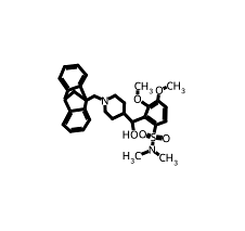 COc1ccc(S(=O)(=O)N(C)C)c(C(O)C2CCN(CC34CC(c5ccccc53)c3ccccc34)CC2)c1OC